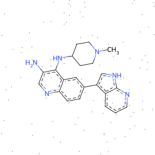 CN1CCC(Nc2c(N)cnc3ccc(-c4c[nH]c5ncccc45)cc23)CC1